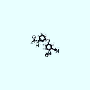 CC(=O)Nc1cccc(Oc2ccc(N=O)c(C#N)c2)c1